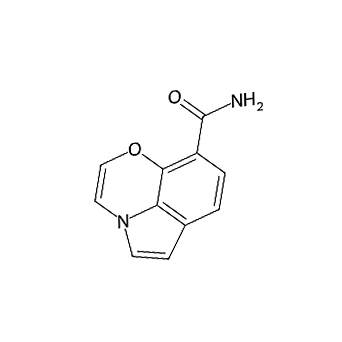 NC(=O)c1ccc2ccn3c2c1OC=C3